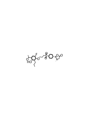 CCCc1c(O)c(C(C)=O)cc(F)c1OCCCS(=O)(=O)c1ccc([C@@H]2OC(=O)C[C@@H]2C)cc1